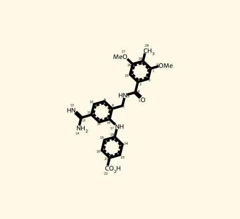 COc1cc(C(=O)NCc2ccc(C(=N)N)cc2Nc2ccc(C(=O)O)cc2)cc(OC)c1C